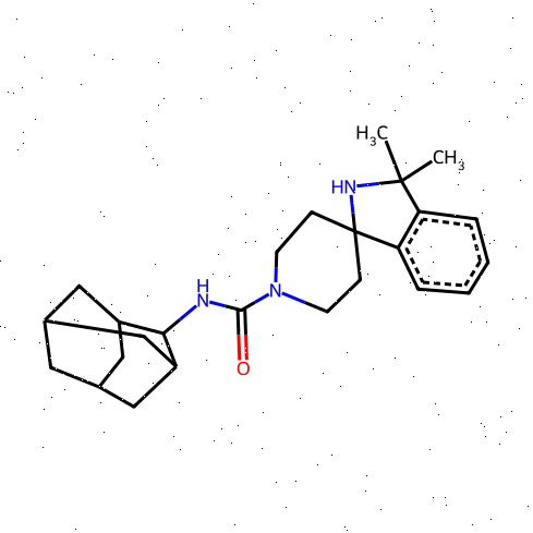 CC1(C)NC2(CCN(C(=O)NC3C4CC5CC(C4)CC3C5)CC2)c2ccccc21